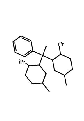 CC1CCC(C(C)C)C(C(C)(c2ccccc2)C2CC(C)CCC2C(C)C)C1